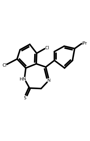 CC(C)c1ccc(C2=NCC(=S)Nc3c(Cl)ccc(Cl)c32)cc1